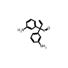 C=CC(P=O)(c1cccc(N)c1)c1cccc(N)c1